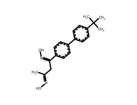 C/C(C/C(=N/O)c1ccc(-c2ccc(C(C)(C)C)cc2)cc1)=N\O